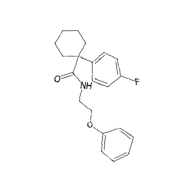 O=C(NCCOc1ccccc1)C1(c2ccc(F)cc2)CCCCC1